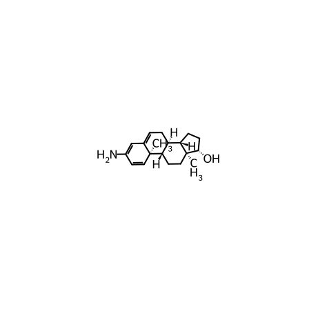 C[C@]12CC[C@H]3[C@@H](CC=C4C=C(N)C=C[C@@]43C)[C@@H]1CC[C@@H]2O